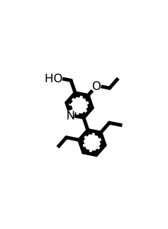 CCOc1cc(-c2c(CC)cccc2CC)ncc1CO